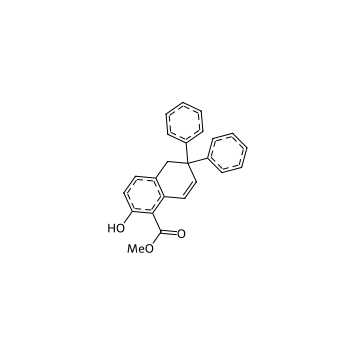 COC(=O)c1c(O)ccc2c1C=CC(c1ccccc1)(c1ccccc1)C2